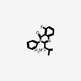 C=C(C)[C@H](N)c1nc2cccc(F)c2c(=O)n1-c1ccccc1